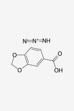 O=C(O)c1ccc2c(c1)OCO2.[N-]=[N+]=N